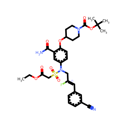 CCOC(=O)CS(=O)(=O)N(C/C(F)=C/c1cccc(C#N)c1)c1ccc(OC2CCN(C(=O)OC(C)(C)C)CC2)c(C(N)=O)c1